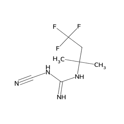 CC(C)(CC(F)(F)F)NC(=N)NC#N